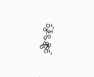 C=CC(=O)NCC(=O)OCCOC1C2CC3C(O2)C1(C)OS3(=O)=O